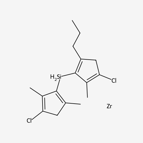 CCCC1=C([SiH2]C2=C(C)CC(Cl)=C2C)C(C)=C(Cl)C1.[Zr]